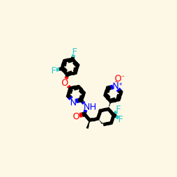 C[C@@H](C(=O)Nc1ccc(Oc2ccc(F)cc2F)cn1)[C@H]1CCC(F)(F)[C@@H](c2cc[n+]([O-])cc2)C1